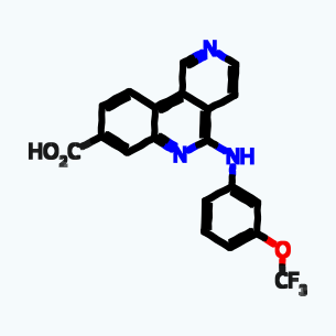 O=C(O)c1ccc2c(c1)nc(Nc1cccc(OC(F)(F)F)c1)c1ccncc12